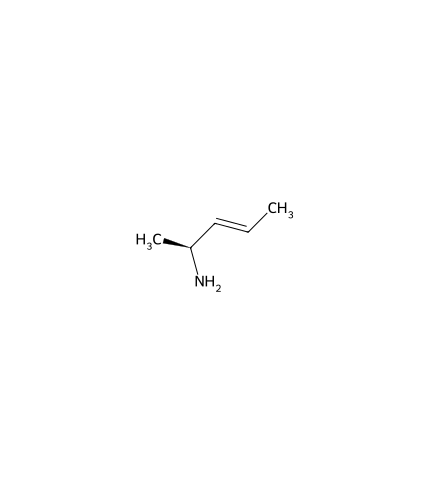 C/C=C/[C@H](C)N